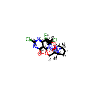 C[C@H](Oc1nc(Cl)c(F)c2nc(Cl)nc(O)c12)[C@H]1NC[C@H]2CC[C@@H]1N2C(=O)OC(C)(C)C